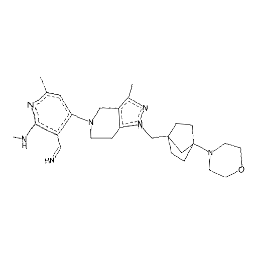 CNc1nc(C)cc(N2CCc3c(c(C)nn3CC34CCC(N5CCOCC5)(CC3)C4)C2)c1C=N